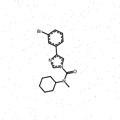 CN(C(=O)n1cnc(-c2cccc(Br)c2)c1)C1CCCCC1